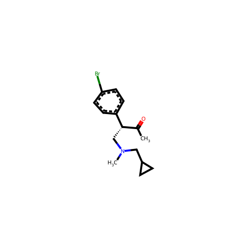 CC(=O)[C@H](CN(C)CC1CC1)c1ccc(Br)cc1